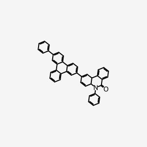 O=C1c2ccccc2C2C=C(c3ccc4c5ccc(-c6ccccc6)cc5c5ccccc5c4c3)C=CC2N1c1ccccc1